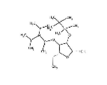 CC[C@H]1O[C@@H](C)[C@@H](O[Si](C)(C)C(C)(C)C)C1OP(C)N(C(C)C)C(C)C